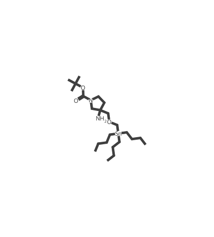 CCC[CH2][Sn]([CH2]CCC)([CH2]CCC)[CH2]OCC1(N)CCN(C(=O)OC(C)(C)C)C1